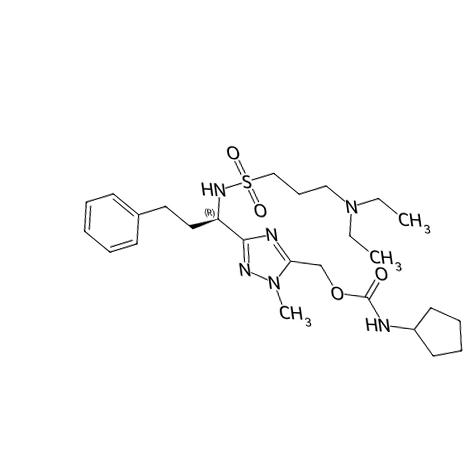 CCN(CC)CCCS(=O)(=O)N[C@H](CCc1ccccc1)c1nc(COC(=O)NC2CCCC2)n(C)n1